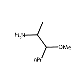 CCCC(OC)C(C)N